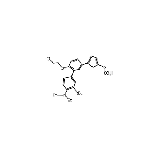 CCN(CC)c1ccc(-c2cc(-c3ccc(OC(=O)O)s3)ccc2OCCO)cc1C(C)(C)C